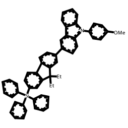 CCC1(CC)c2cc(-c3ccc4c(c3)c3ccccc3n4-c3ccc(OC)cc3)ccc2-c2ccc([Si](c3ccccc3)(c3ccccc3)c3ccccc3)cc21